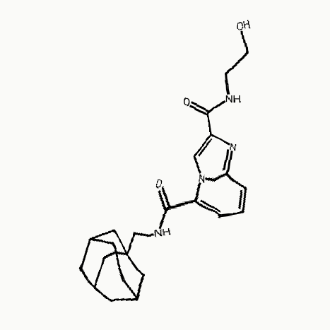 O=C(NCCO)c1cn2c(C(=O)NCC34CC5CC(CC(C5)C3)C4)cccc2n1